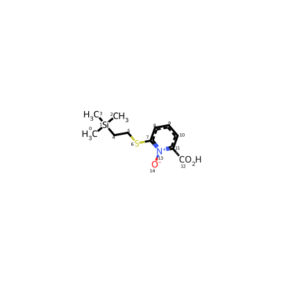 C[Si](C)(C)CCSc1cccc(C(=O)O)[n+]1[O-]